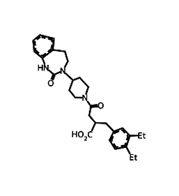 CCc1ccc(CC(CC(=O)N2CCC(N3CCc4ccccc4NC3=O)CC2)C(=O)O)cc1CC